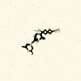 Cc1nc(N2CC(C)SC(C)C2)ccc1C1(N)CC2(CC(N)C2)C1